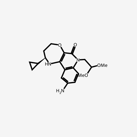 COC(Cn1c(=O)c2c(c3cc(N)ccc31)N[C@@H](C1CC1)CCO2)OC